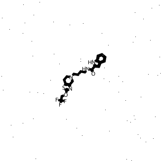 O=C(NCCCCN1CCc2sc(OCC(F)(F)F)nc2C1)c1cc2ccccc2[nH]1